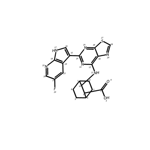 O=C(O)C1C2CCC(CC2)C1Nc1nc(-c2c[nH]c3ncc(F)cc23)nc2scnc12